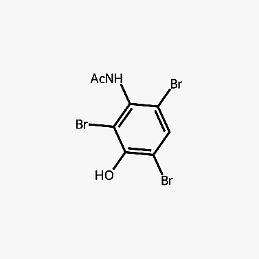 CC(=O)Nc1c(Br)cc(Br)c(O)c1Br